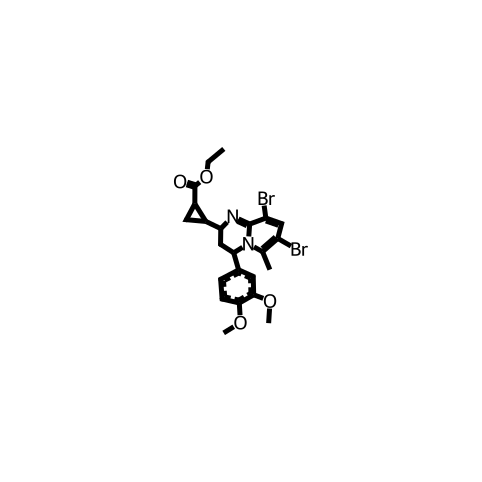 CCOC(=O)C1CC1C1CC(c2ccc(OC)c(OC)c2)N2C(=N1)C(Br)=CC(Br)=C2C